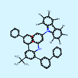 [2H]c1c([2H])c([2H])c2c(c1[2H])c1c([2H])c([2H])c([2H])c([2H])c1n2-c1cccc(Nc2c(-c3cccc(-c4ccccc4)c3)cc(C(C)(C)C)cc2-c2cccc(-c3ccccc3)c2)c1